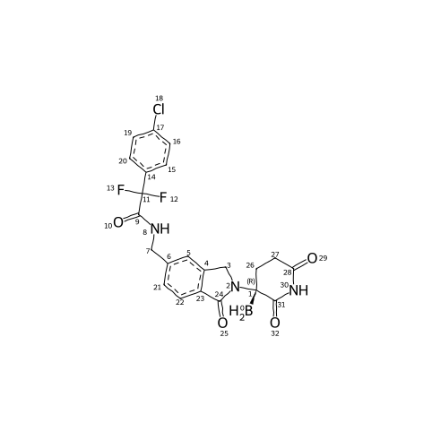 B[C@@]1(N2Cc3cc(CNC(=O)C(F)(F)c4ccc(Cl)cc4)ccc3C2=O)CCC(=O)NC1=O